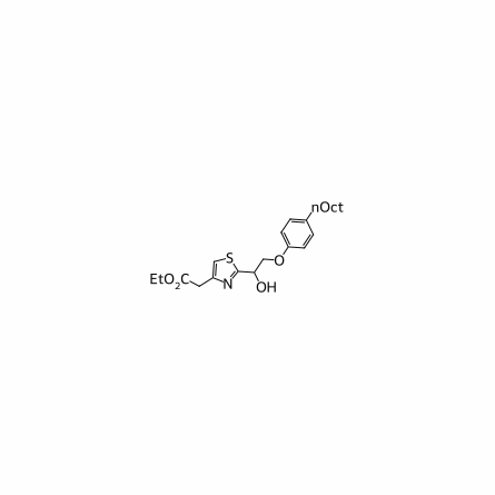 CCCCCCCCc1ccc(OCC(O)c2nc(CC(=O)OCC)cs2)cc1